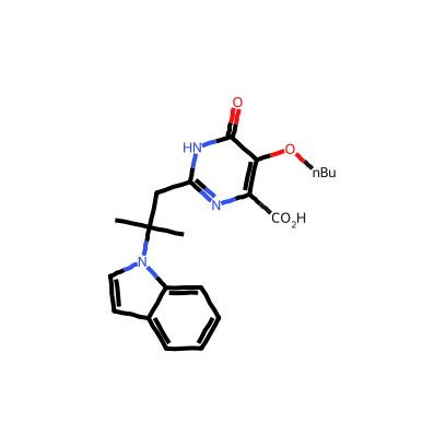 CCCCOc1c(C(=O)O)nc(CC(C)(C)n2ccc3ccccc32)[nH]c1=O